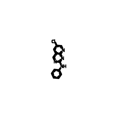 Clc1cnc2nc(Nc3ccccc3)ncc2c1